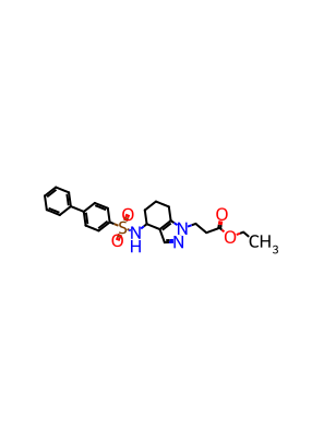 CCOC(=O)CCn1ncc2c1CCCC2NS(=O)(=O)c1ccc(-c2ccccc2)cc1